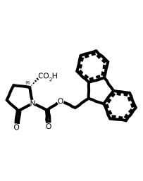 O=C(O)[C@H]1CCC(=O)N1C(=O)OCC1c2ccccc2-c2ccccc21